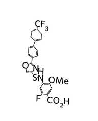 COc1cc(C(=O)O)c(F)cc1NSc1coc(-c2ccc(C3=CCC(C(F)(F)F)CC3)cc2)n1